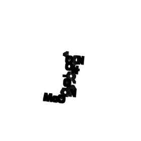 COc1ccc2c(Oc3c(C)cc(N(C)C(=O)c4cnccc4OC4CC4)cc3C)ccnc2c1